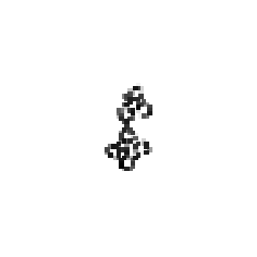 c1ccc2c(c1)Oc1ccc(-c3ccc4c(c3)-c3ccccc3C43c4ccccc4-c4ccccc43)cc1C21CCCCC1